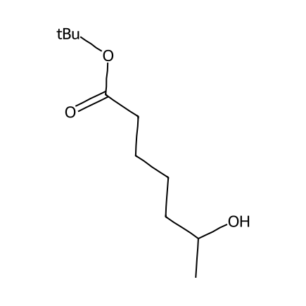 CC(O)CCCCC(=O)OC(C)(C)C